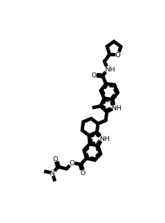 Cc1c(CC2CCCc3c2[nH]c2ccc(C(=O)OCC(=O)N(C)C)cc32)[nH]c2ccc(C(=O)NCC3CCCO3)cc12